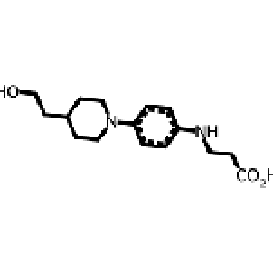 O=C(O)CCNc1ccc(N2CCC(CCO)CC2)cc1